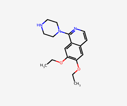 CCOc1cc2ccnc(N3CCNCC3)c2cc1OCC